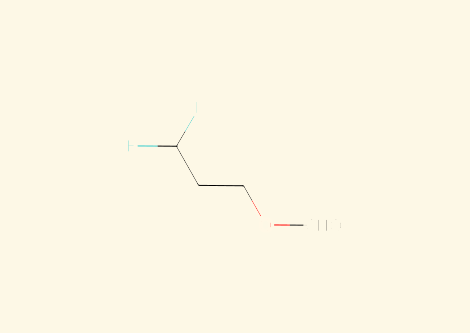 O=COCCC(F)F